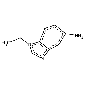 CCn1cnc2cc(N)ccc21